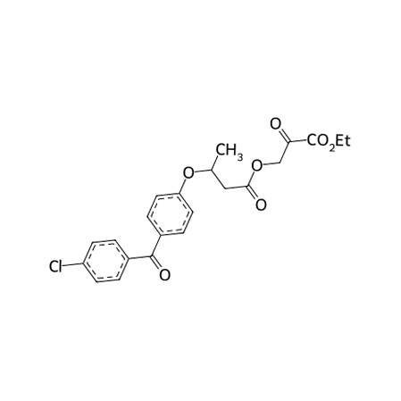 CCOC(=O)C(=O)COC(=O)CC(C)Oc1ccc(C(=O)c2ccc(Cl)cc2)cc1